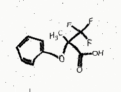 CC(Oc1ccccc1)(C(=O)O)C(F)(F)F